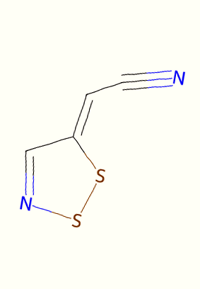 N#CC=C1C=NSS1